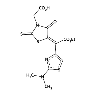 CCOC(=O)/C(=C1/SC(=S)N(CC(=O)O)C1=O)c1csc(N(C)C)n1